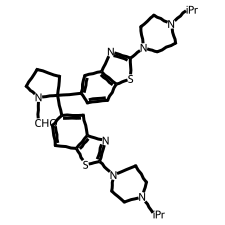 CC(C)N1CCN(c2nc3cc(C4(c5ccc6sc(N7CCN(C(C)C)CC7)nc6c5)CCCN4C=O)ccc3s2)CC1